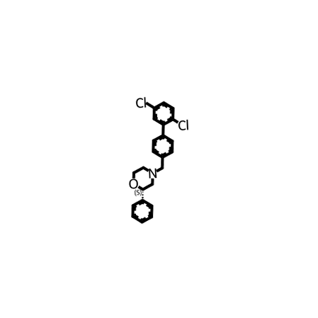 Clc1ccc(Cl)c(-c2ccc(CN3CCO[C@@H](c4ccccc4)C3)cc2)c1